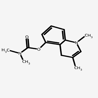 CC1=CN(C)c2cccc(OC(=O)N(C)C)c2C1